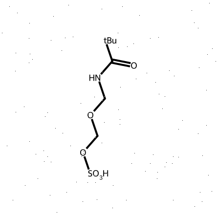 CC(C)(C)C(=O)NCOCOS(=O)(=O)O